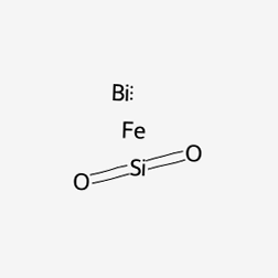 O=[Si]=O.[Bi].[Fe]